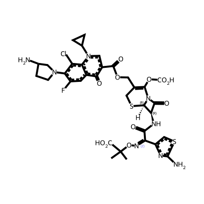 CC(C)(O/N=C(\C(=O)N[C@@H]1C(=O)N2C(OC(=O)O)=C(COC(=O)c3cn(C4CC4)c4c(Cl)c(N5CCC(N)C5)c(F)cc4c3=O)CS[C@H]12)c1csc(N)n1)C(=O)O